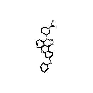 CCCC(=O)N1CCC[C@@H](N(C)c2ncnc(N)c2C(=N)c2ccc(Oc3ccccc3)cc2)C1